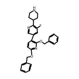 Fc1cc(-c2ccc(OCc3ccccc3)nc2OCc2ccccc2)cnc1C1CCNCC1